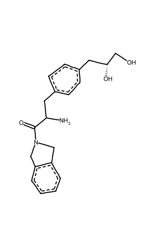 NC(Cc1ccc(C[C@@H](O)CO)cc1)C(=O)N1Cc2ccccc2C1